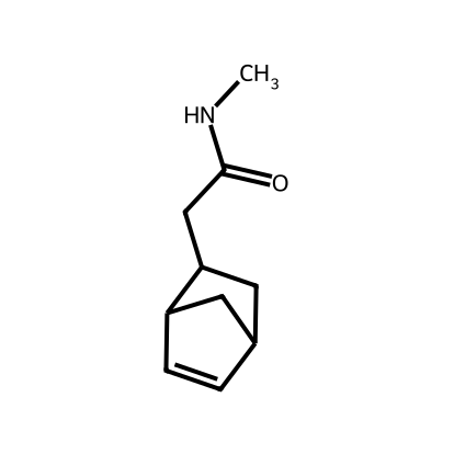 CNC(=O)CC1CC2C=CC1C2